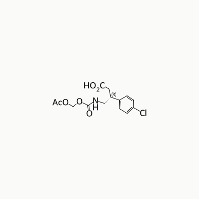 CC(=O)OCOC(=O)NC[C@H](CC(=O)O)c1ccc(Cl)cc1